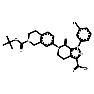 CC(C)(C)OC(=O)N1CCc2ccc(N3CCc4c(C(=O)O)nn(-c5cccc(Cl)c5)c4C3=O)cc2C1